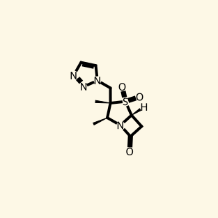 C[C@@H]1N2C(=O)C[C@H]2S(=O)(=O)[C@@]1(C)Cn1ccnn1